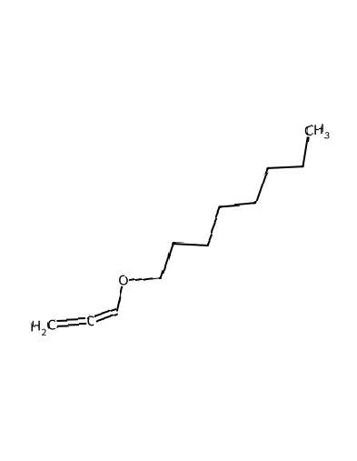 C=C=COCCCCCCCC